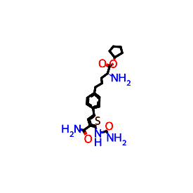 NC(=O)Nc1sc(-c2ccc(CCC[C@@H](N)C(=O)OC3CCCC3)cc2)cc1C(N)=O